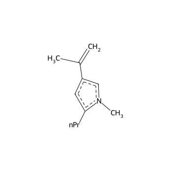 C=C(C)c1cc(CCC)n(C)c1